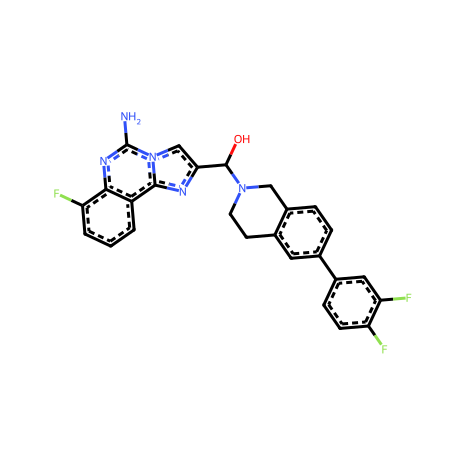 Nc1nc2c(F)cccc2c2nc(C(O)N3CCc4cc(-c5ccc(F)c(F)c5)ccc4C3)cn12